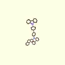 c1ccc(-c2ccccc2N(c2ccc(-c3ccc(-n4c5ccccc5c5ccccc54)cc3)cc2)c2ccc3c(ccc4ccccc43)c2)cc1